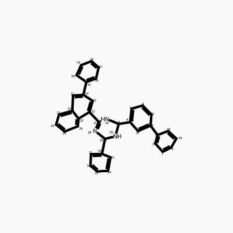 c1ccc(-c2cccc(C3NC(c4cc(-c5ccccc5)cc5ccccc45)=NC(c4ccccc4)N3)c2)cc1